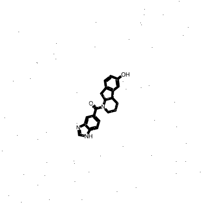 O=C(c1ccc2[nH]cnc2c1)N1CCCC2c3cc(O)ccc3CC21